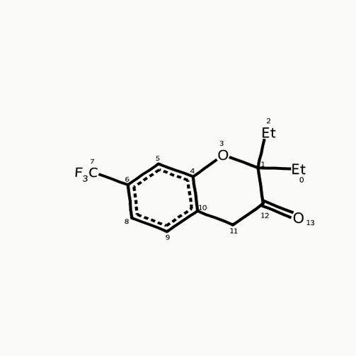 CCC1(CC)Oc2cc(C(F)(F)F)ccc2CC1=O